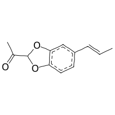 CC=Cc1ccc2c(c1)OC(C(C)=O)O2